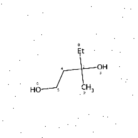 CCC(C)(O)CCO